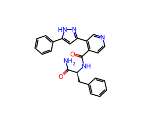 NC(=O)[C@H](Cc1ccccc1)NC(=O)c1ccncc1-c1cc(-c2ccccc2)[nH]n1